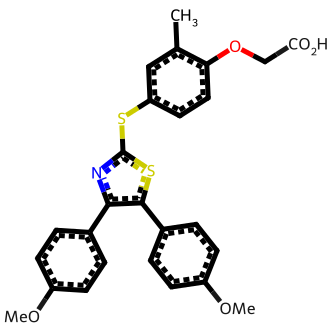 COc1ccc(-c2nc(Sc3ccc(OCC(=O)O)c(C)c3)sc2-c2ccc(OC)cc2)cc1